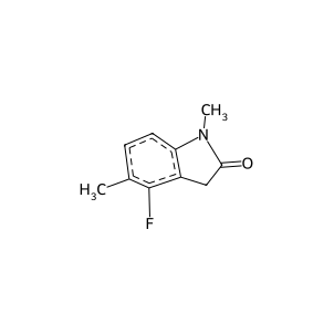 Cc1ccc2c(c1F)CC(=O)N2C